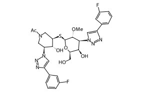 CO[C@@H]1[C@@H](n2cc(-c3cccc(F)c3)nn2)[C@@H](O)[C@@H](CO)O[C@H]1S[C@@H]1CN(C(C)=O)C[C@H](n2cc(-c3cccc(F)c3)nn2)[C@H]1O